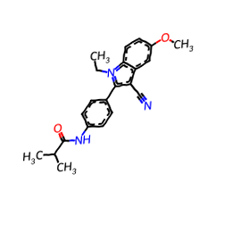 CCn1c(-c2ccc(NC(=O)C(C)C)cc2)c(C#N)c2cc(OC)ccc21